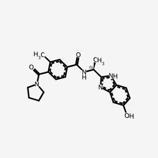 Cc1cc(C(=O)N[C@@H](C)c2nc3cc(O)ccc3[nH]2)ccc1C(=O)N1CCCC1